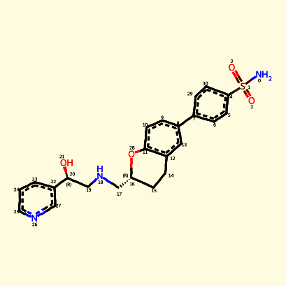 NS(=O)(=O)c1ccc(-c2ccc3c(c2)CC[C@H](CNC[C@H](O)c2cccnc2)O3)cc1